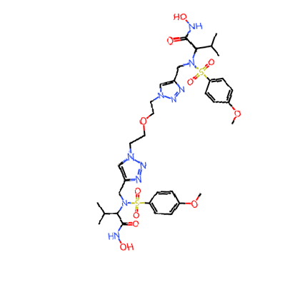 COc1ccc(S(=O)(=O)N(Cc2cn(CCOCCn3cc(CN(C(C(=O)NO)C(C)C)S(=O)(=O)c4ccc(OC)cc4)nn3)nn2)C(C(=O)NO)C(C)C)cc1